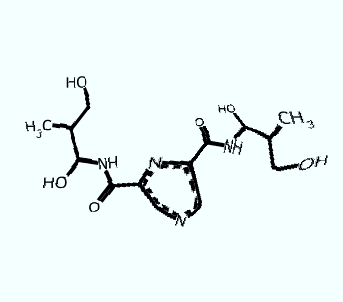 CC(CO)C(O)NC(=O)c1cncc(C(=O)NC(O)C(C)CO)n1